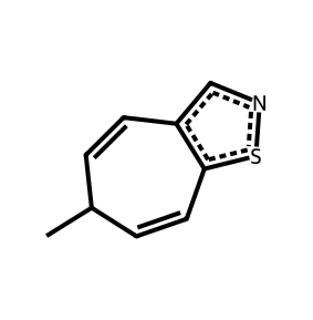 CC1C=Cc2cnsc2C=C1